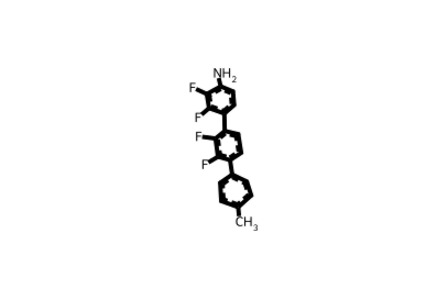 Cc1ccc(-c2ccc(-c3ccc(N)c(F)c3F)c(F)c2F)cc1